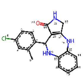 Cc1cc(Cl)ccc1C1Nc2ccccc2NC2=C1C(=O)NC2